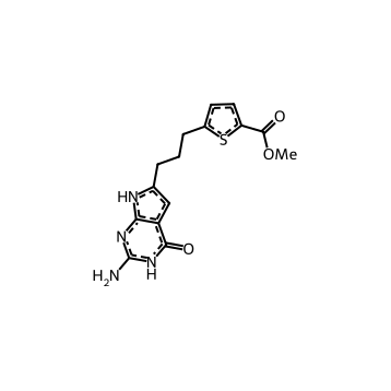 COC(=O)c1ccc(CCCc2cc3c(=O)[nH]c(N)nc3[nH]2)s1